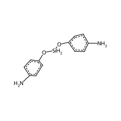 Nc1ccc(O[SiH2]Oc2ccc(N)cc2)cc1